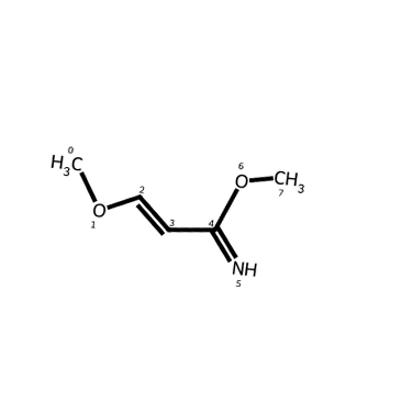 CO/C=C/C(=N)OC